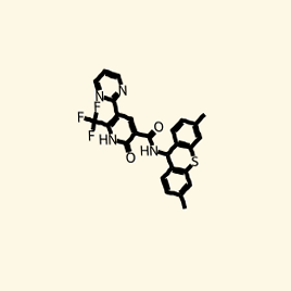 Cc1ccc2c(c1)Sc1cc(C)ccc1C2NC(=O)c1cc(-c2ncccn2)c(C(F)(F)F)[nH]c1=O